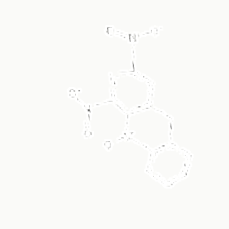 O=[N+]([O-])c1cc2c(c([N+](=O)[O-])c1)[S+]([O-])c1ccccc1C2